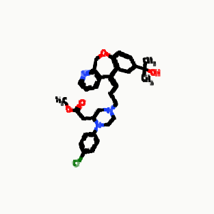 COC(=O)CC1CN(CC/C=C2/C3=C(C=CC(C(C)(C)O)C3)OCc3ncccc32)CCN1c1ccc(Cl)cc1